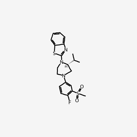 CC(C)[C@@H]1CN(c2ccc(F)c(S(C)(=O)=O)c2)CCN1c1nc2ccccc2s1